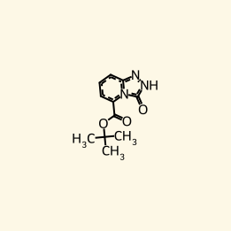 CC(C)(C)OC(=O)c1cccc2n[nH]c(=O)n12